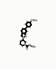 COc1ccc(-c2ccc3cn(C4CCCN(C(=O)OC(C)(C)C)C4)nc3c2)cc1